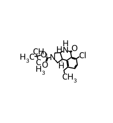 CCc1ccc(Cl)c2c1[C@H]1CN(C(=O)OC(C)(C)C)C[C@@H]1NC2=O